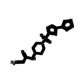 C=CC(=O)NC1CCN(S(=O)(=O)c2ccc(-c3cnco3)s2)CC1